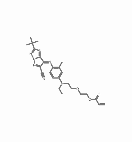 C=CC(=O)OCCOCCN(CC)c1ccc(N=C2C(C#N)=Nn3nc(C(C)(C)C)nc32)c(C)c1